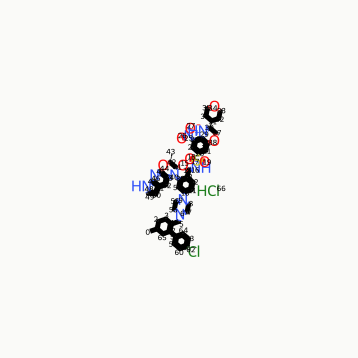 CC1CCC(CN2CCN(c3ccc(C(=O)NS(=O)(=O)c4cc5c(c([N+](=O)[O-])c4)N[C@H](C4CCOCC4)CO5)c(N4C[C@@H](C)Oc5nc6[nH]ccc6cc54)c3)CC2)=C(c2ccc(Cl)cc2)C1.Cl